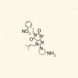 CC(C)=CCn1c(N2CCCC(N)C2)nc2c1c(=O)n(CCc1ccccc1[N+](=O)[O-])c(=O)n2C